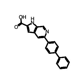 O=C(O)c1cc2cc(-c3ccc(-c4ccccc4)cc3)ncc2[nH]1